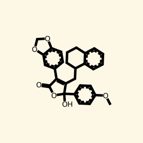 COc1ccc(C2(O)OC(=O)C(c3ccc4c(c3)OCO4)=C2CC2CCCc3ccccc32)cc1